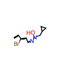 C=C/C(Br)=C/C=N\N(O)CC1CC1